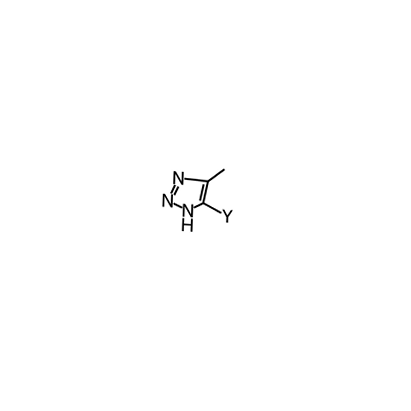 Cc1nn[nH][c]1[Y]